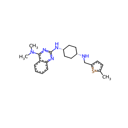 Cc1ccc(CN[C@H]2CC[C@@H](Nc3nc(N(C)C)c4ccccc4n3)CC2)s1